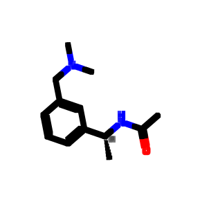 CC(=O)N[C@H](C)c1cccc(CN(C)C)c1